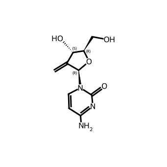 C=C1[C@H](n2ccc(N)nc2=O)O[C@H](CO)[C@H]1O